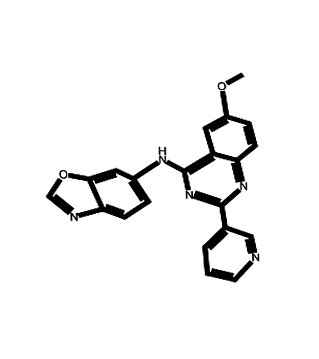 COc1ccc2nc(-c3cccnc3)nc(Nc3ccc4ncoc4c3)c2c1